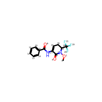 CON1C(=O)C(NC(=O)c2ccccc2)=CCC1C(F)(F)F